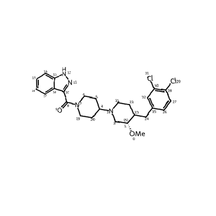 CO[C@@H]1CN(C2CCN(C(=O)c3n[nH]c4ccccc34)CC2)CCC1Cc1ccc(Cl)c(Cl)c1